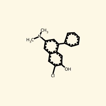 CN(C)c1cc(-c2ccccc2)c2cc(O)c(Cl)cc2c1